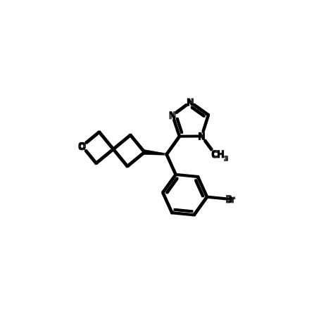 Cn1cnnc1[C@@H](c1cccc(Br)c1)C1CC2(COC2)C1